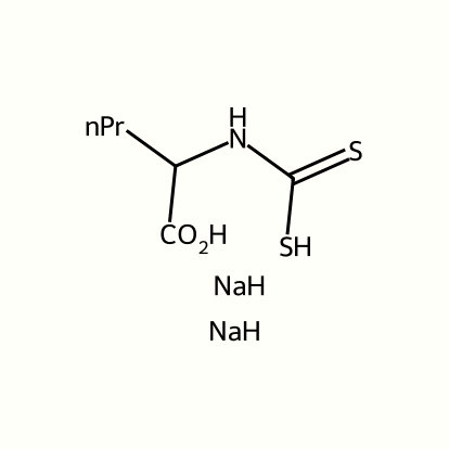 CCCC(NC(=S)S)C(=O)O.[NaH].[NaH]